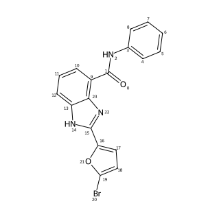 O=C(Nc1ccccc1)c1cccc2[nH]c(-c3ccc(Br)o3)nc12